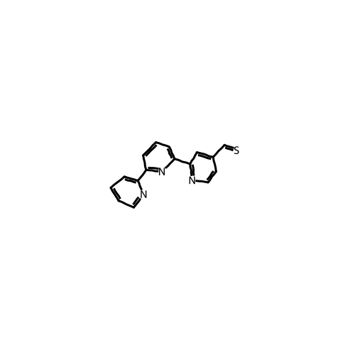 S=Cc1ccnc(-c2cccc(-c3ccccn3)n2)c1